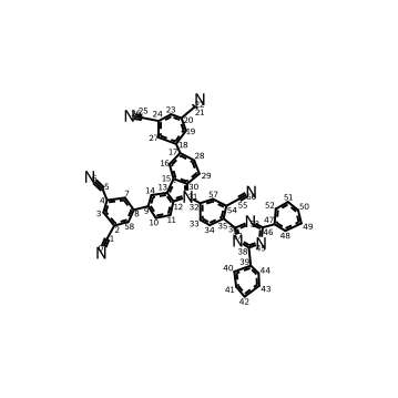 N#Cc1cc(C#N)cc(-c2ccc3c(c2)c2cc(-c4cc(C#N)cc(C#N)c4)ccc2n3-c2ccc(-c3nc(-c4ccccc4)nc(-c4ccccc4)n3)c(C#N)c2)c1